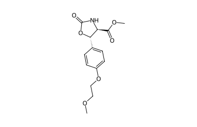 COCCOc1ccc([C@@H]2OC(=O)N[C@H]2C(=O)OC)cc1